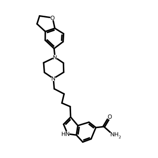 NC(=O)c1ccc2[nH]cc(CCCCN3CCN(c4ccc5c(c4)CCO5)CC3)c2c1